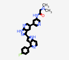 CN(C)CC(=O)Nc1cncc(-c2cnc3[nH]nc(-c4cc5c(-c6ccc(F)cc6)nccc5[nH]4)c3c2)c1